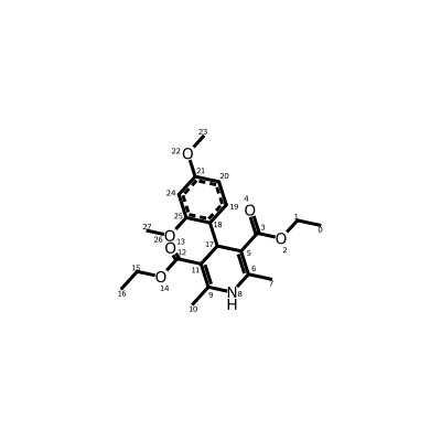 CCOC(=O)C1=C(C)NC(C)=C(C(=O)OCC)C1c1ccc(OC)cc1OC